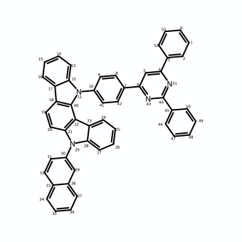 c1ccc(-c2cc(-c3ccc(-n4c5ccccc5c5ccc6c(c7ccccc7n6-c6ccc7ccccc7c6)c54)cc3)nc(-c3ccccc3)n2)cc1